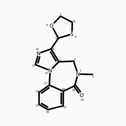 CN1Cc2c(C3OCCS3)ncn2-c2ccccc2C1=O